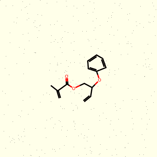 C=CC(COC(=O)C(=C)C)Oc1ccccc1